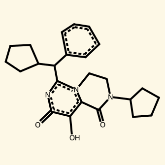 O=C1c2c(O)c(=O)nc(C(c3ccccc3)C3CCCC3)n2CCN1C1CCCC1